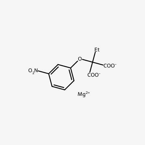 CCC(Oc1cccc([N+](=O)[O-])c1)(C(=O)[O-])C(=O)[O-].[Mg+2]